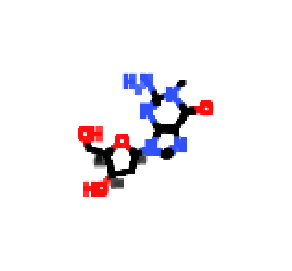 Cn1c(N)nc2c(ncn2[C@H]2C[C@H](O)[C@@H](CO)O2)c1=O